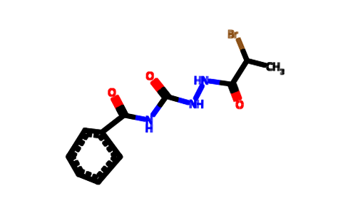 CC(Br)C(=O)NNC(=O)NC(=O)c1ccccc1